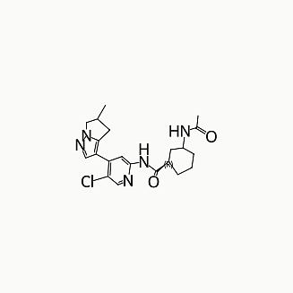 CC(=O)NC1CCC[C@@H](C(=O)Nc2cc(-c3cnn4c3CC(C)C4)c(Cl)cn2)C1